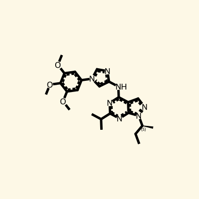 CC[C@H](C)n1ncc2c(Nc3cn(-c4cc(OC)c(OC)c(OC)c4)cn3)nc(C(C)C)nc21